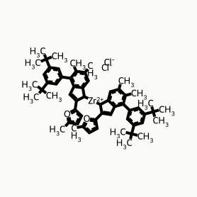 Cc1ccc(C2=Cc3c(cc(C)c(C)c3-c3cc(C(C)(C)C)cc(C(C)(C)C)c3)[CH]2[Zr+2][CH]2C(c3ccc(C)o3)=Cc3c2cc(C)c(C)c3-c2cc(C(C)(C)C)cc(C(C)(C)C)c2)o1.[Cl-].[Cl-]